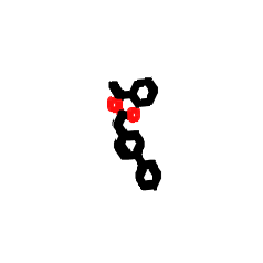 C=C(OC(=O)Cc1ccc(-c2ccccc2)cc1)C1CCCCC1